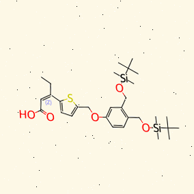 CC/C(=C/C(=O)O)c1ccc(COc2ccc(CO[Si](C)(C)C(C)(C)C)c(CO[Si](C)(C)C(C)(C)C)c2)s1